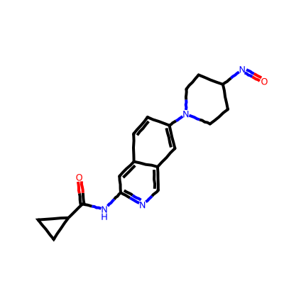 O=NC1CCN(c2ccc3cc(NC(=O)C4CC4)ncc3c2)CC1